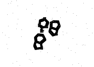 Brc1ncncn1.c1ccc2sccc2c1.c1ccc2sccc2c1